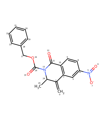 C=C1c2cc([N+](=O)[O-])ccc2C(=O)N(C(=O)OCc2ccccc2)C1C